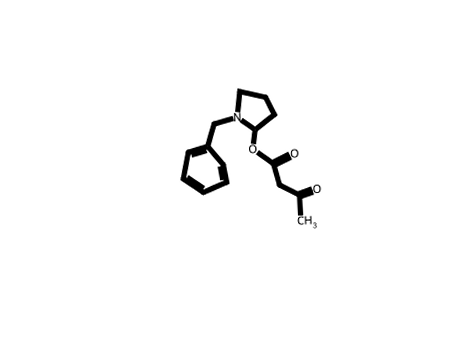 CC(=O)CC(=O)OC1CCCN1Cc1ccccc1